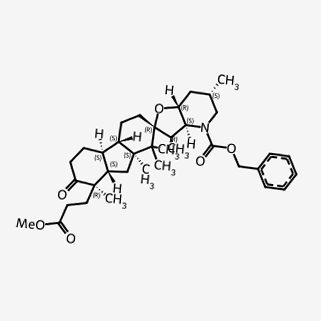 COC(=O)CC[C@@]1(C)C(=O)CC[C@@H]2[C@@H]1C[C@@]1(C)[C@H]2CC[C@]2(O[C@@H]3C[C@H](C)CN(C(=O)OCc4ccccc4)[C@H]3[C@H]2C)C1(C)C